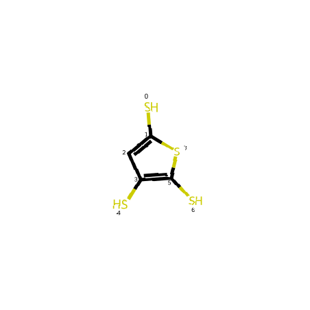 Sc1cc(S)c(S)s1